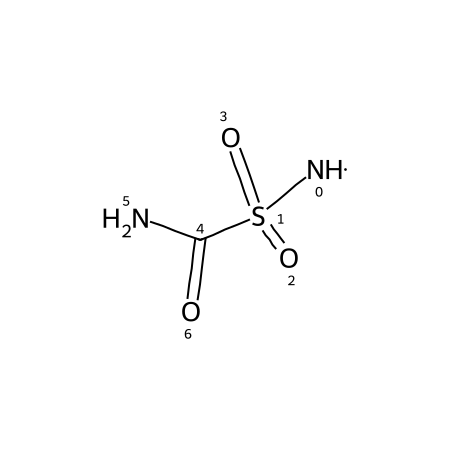 [NH]S(=O)(=O)C(N)=O